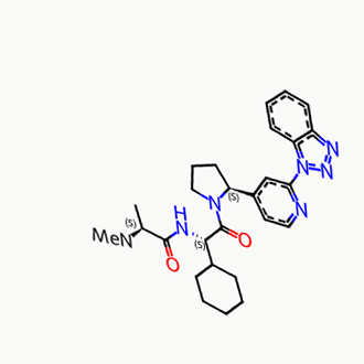 CN[C@@H](C)C(=O)N[C@H](C(=O)N1CCC[C@H]1c1ccnc(-n2nnc3ccccc32)c1)C1CCCCC1